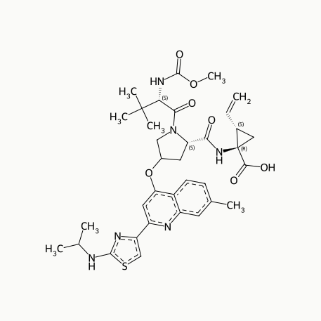 C=C[C@@H]1C[C@]1(NC(=O)[C@@H]1CC(Oc2cc(-c3csc(NC(C)C)n3)nc3cc(C)ccc23)CN1C(=O)[C@@H](NC(=O)OC)C(C)(C)C)C(=O)O